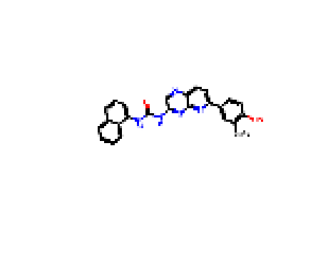 COc1cc(-c2ccc3ncc(NC(=O)Nc4cccc5ccccc45)nc3n2)ccc1O